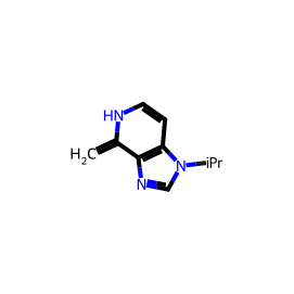 C=C1NC=Cc2c1ncn2C(C)C